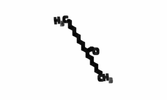 CCCCCCCCCC(C=O)CCCCCCC